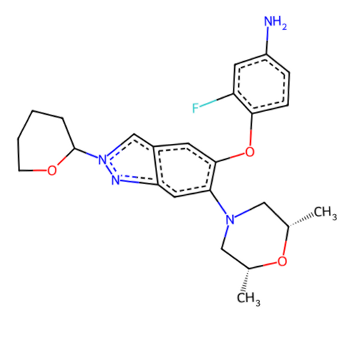 C[C@@H]1CN(c2cc3nn(C4CCCCO4)cc3cc2Oc2ccc(N)cc2F)C[C@H](C)O1